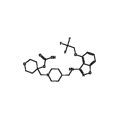 O=C(O)OC1(CN2CCC(CNc3noc4cccc(OCC(F)(F)F)c34)CC2)CCOCC1